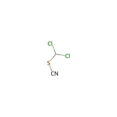 N#CSC(Cl)Cl